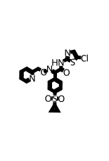 O=C(Nc1ncc(Cl)s1)/C(=N/OCc1ccccn1)c1ccc(S(=O)(=O)C2CC2)cc1